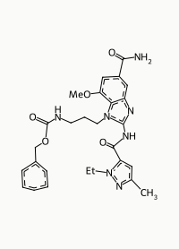 CCn1nc(C)cc1C(=O)Nc1nc2cc(C(N)=O)cc(OC)c2n1CCCNC(=O)OCc1ccccc1